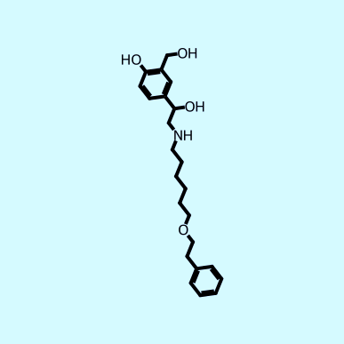 OCc1cc(C(O)CNCCCCCCOCCc2ccccc2)ccc1O